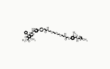 CC(=O)c1c(C)c2cnc(Nc3ccc(N4CCN(CC(=O)NCCOCCOCCOCCNC(=O)COc5ccc(C(=O)Nc6ncc(C)s6)c(C)c5)CC4)cn3)nc2n(C2CCCC2)c1=O